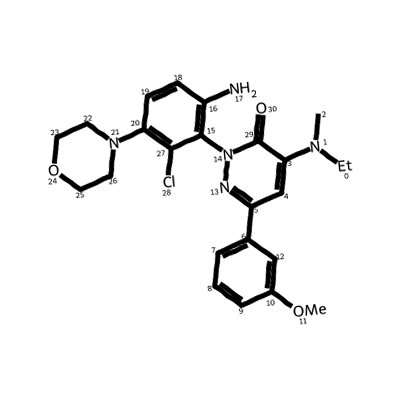 CCN(C)c1cc(-c2cccc(OC)c2)nn(-c2c(N)ccc(N3CCOCC3)c2Cl)c1=O